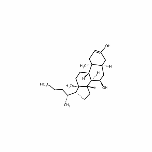 C[C@H](CCC(=O)O)[C@H]1CC[C@H]2[C@@H]3[C@H](O)C[C@@H]4CC(O)=CC[C@]4(C)[C@H]3CC[C@]12C